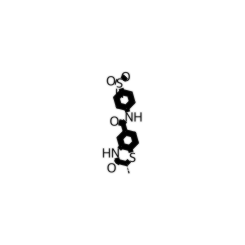 C[C@H]1Sc2ccc(C(=O)Nc3ccc([SH](=O)=O)cc3)cc2NC1=O